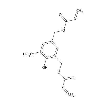 C=CC(=O)OCc1cc(COC(=O)C=C)c(O)c(C(=O)O)c1